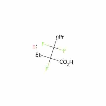 CCCC(F)(F)C(F)(CC)C(=O)O.[B]